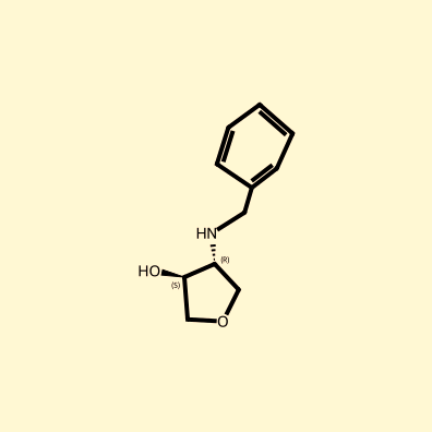 O[C@@H]1COC[C@H]1NCc1ccccc1